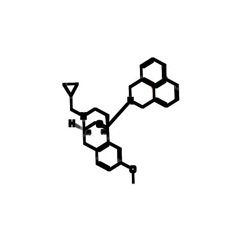 COc1ccc2c(c1)[C@]13CCN(CC4CC4)[C@H](C2)C1OCC(N(Cc1ccccc1)Cc1ccccc1)C3